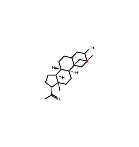 COC[C@]12CCC(O)CC1CC[C@@H]1[C@@H]2CC[C@]2(C)[C@@H](C(C)=O)CC[C@@H]12